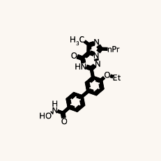 CCCc1nc(C)c2c(=O)[nH]c(-c3cc(-c4ccc(C(=O)NO)cc4)ccc3OCC)nn12